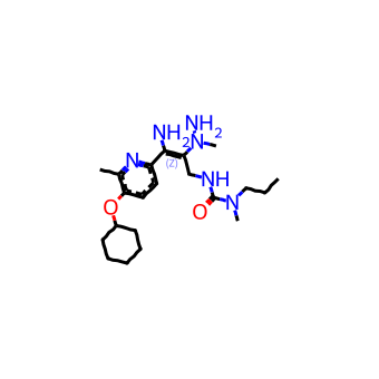 CCCN(C)C(=O)NC/C(=C(/N)c1ccc(OC2CCCCC2)c(C)n1)N(C)N